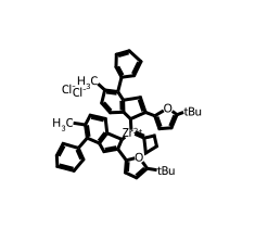 Cc1ccc2c(c1-c1ccccc1)C=C(c1ccc(C(C)(C)C)o1)[CH]2[Zr+2](=[C]1CCC1)[CH]1C(c2ccc(C(C)(C)C)o2)=Cc2c1ccc(C)c2-c1ccccc1.[Cl-].[Cl-]